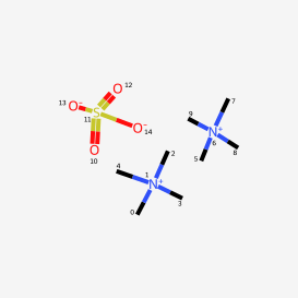 C[N+](C)(C)C.C[N+](C)(C)C.O=S(=O)([O-])[O-]